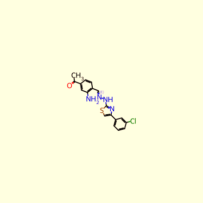 CC(=O)c1ccc(/C=N/Nc2nc(-c3cccc(Cl)c3)cs2)c(N)c1